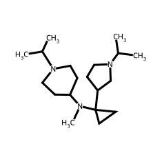 CC(C)N1CCC(N(C)C2(C3CCN(C(C)C)C3)CC2)CC1